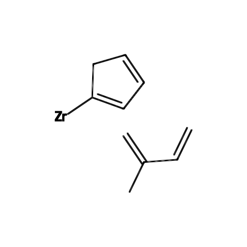 C=CC(=C)C.[Zr][C]1=CC=CC1